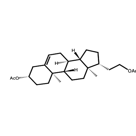 CC(=O)OCC[C@H]1CC[C@H]2[C@@H]3CC=C4C[C@@H](OC(C)=O)CC[C@]4(C)[C@H]3CC[C@]12C